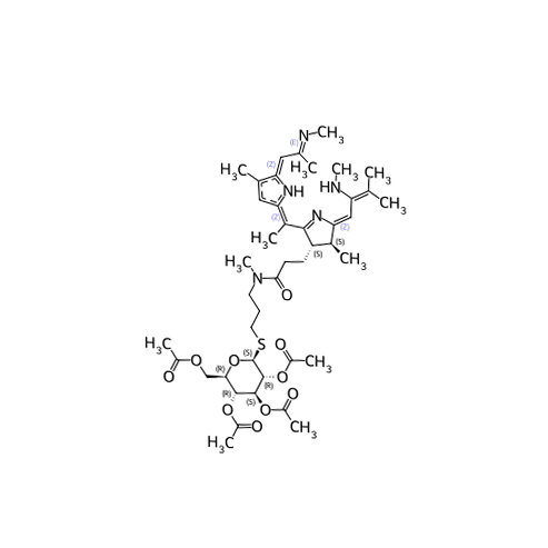 C/N=C(C)/C=c1\[nH]/c(=C(/C)C2=N/C(=C\C(NC)=C(C)C)[C@@H](C)[C@@H]2CCC(=O)N(C)CCCS[C@@H]2O[C@H](COC(C)=O)[C@@H](OC(C)=O)[C@H](OC(C)=O)[C@H]2OC(C)=O)cc1C